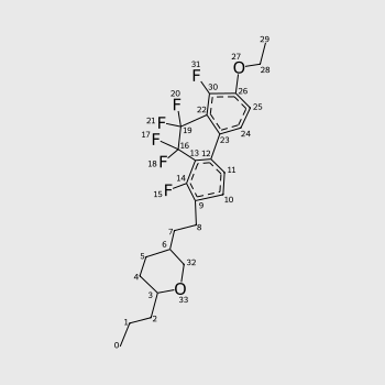 CCCC1CCC(CCc2ccc3c(c2F)C(F)(F)C(F)(F)c2c-3ccc(OCC)c2F)CO1